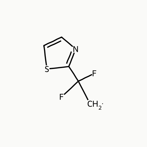 [CH2]C(F)(F)c1nccs1